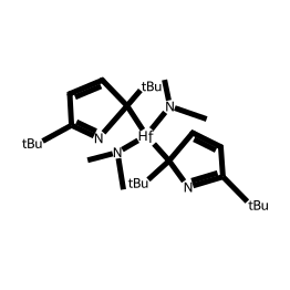 C[N](C)[Hf]([N](C)C)([C]1(C(C)(C)C)C=CC(C(C)(C)C)=N1)[C]1(C(C)(C)C)C=CC(C(C)(C)C)=N1